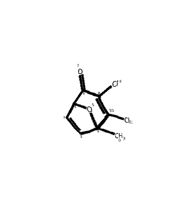 CC12C=CC(O1)C(=O)C(Cl)=C2Cl